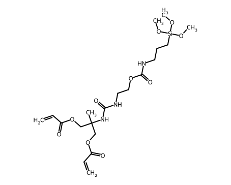 C=CC(=O)OCC(C)(COC(=O)C=C)NC(=O)NCCOC(=O)NCCC[Si](OC)(OC)OC